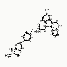 CS(=N)(=O)c1ccc(-c2ccc(CNC(=O)Cn3c4c(c5cc(F)ccc53)CCn3nccc3-4)nc2)cc1